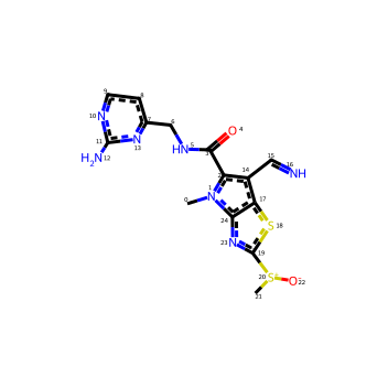 Cn1c(C(=O)NCc2ccnc(N)n2)c(C=N)c2sc([S+](C)[O-])nc21